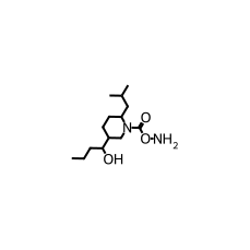 CCCC(O)C1CCC(CC(C)C)N(C(=O)ON)C1